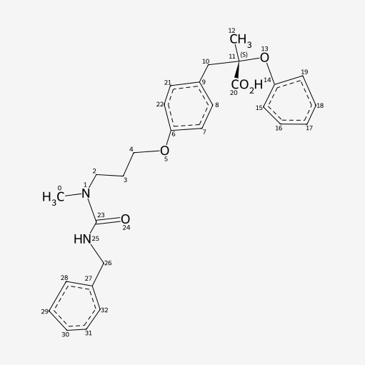 CN(CCCOc1ccc(C[C@](C)(Oc2ccccc2)C(=O)O)cc1)C(=O)NCc1ccccc1